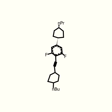 CCCCC1CCC(C#Cc2c(F)cc([C@H]3CC[C@H](CCC)CC3)cc2F)CC1